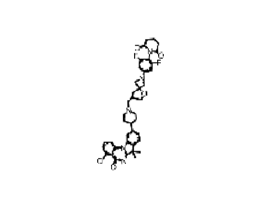 CC1(C)c2ccc(C3CCN(CC4COC5(C4)CN(c4cc(F)c(N6C(=O)CCCC6=O)c(F)c4)C5)CC3)cc2-n2c1nc(=O)c1c(Cl)cccc12